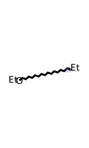 CC/C=C/CCCCCCCCCCCCCCOCC